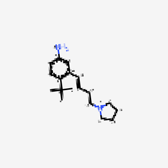 CC(C)(C)c1ccc(N)cc1C=CCCN1CCCC1